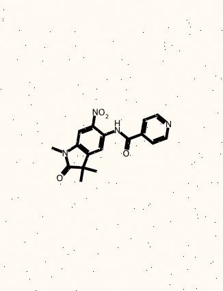 CN1C(=O)C(C)(C)c2cc(NC(=O)c3ccncc3)c([N+](=O)[O-])cc21